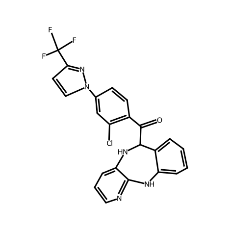 O=C(c1ccc(-n2ccc(C(F)(F)F)n2)cc1Cl)C1Nc2cccnc2Nc2ccccc21